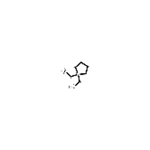 CC[Si]1(CC)CCCC1